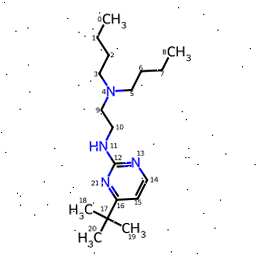 CCCCN(CCCC)CCNc1nccc(C(C)(C)C)n1